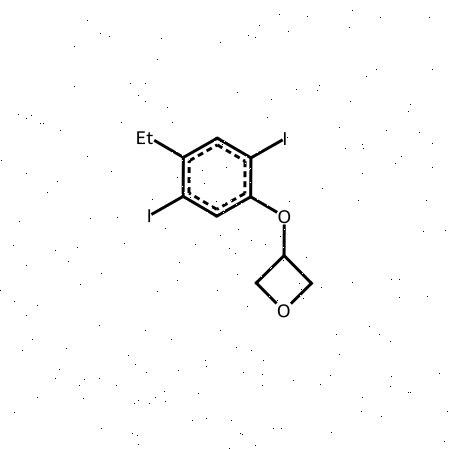 CCc1cc(I)c(OC2COC2)cc1I